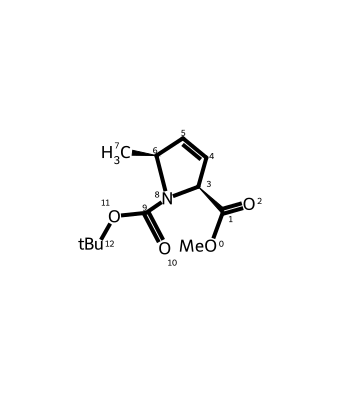 COC(=O)[C@@H]1C=C[C@H](C)N1C(=O)OC(C)(C)C